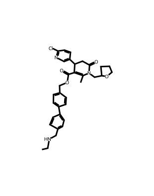 CCNCc1ccc(-c2ccc(COC(=O)C3=C(C)N(CC4CCCO4)C(=O)CC3c3ccc(Cl)nc3)cc2)cc1